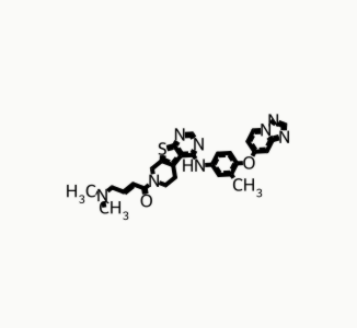 Cc1cc(Nc2ncnc3sc4c(c23)CCN(C(=O)/C=C/CN(C)C)C4)ccc1Oc1ccn2ncnc2c1